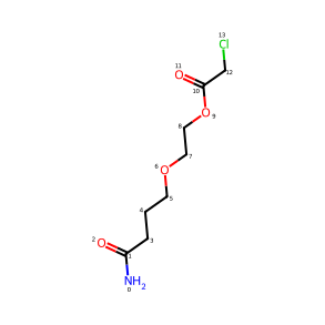 NC(=O)CCCOCCOC(=O)CCl